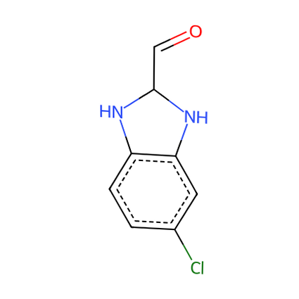 O=CC1Nc2ccc(Cl)cc2N1